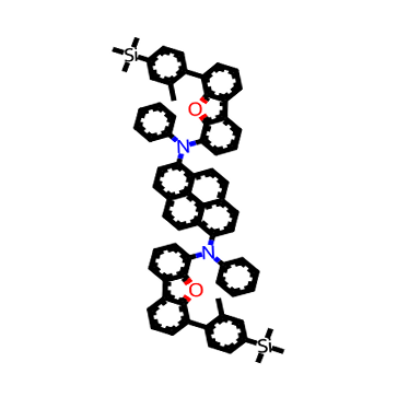 Cc1cc([Si](C)(C)C)ccc1-c1cccc2c1oc1c(N(c3ccccc3)c3ccc4ccc5c(N(c6ccccc6)c6cccc7c6oc6c(-c8ccc([Si](C)(C)C)cc8C)cccc67)ccc6ccc3c4c65)cccc12